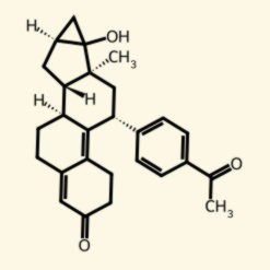 CC(=O)c1ccc([C@H]2C[C@@]3(C)[C@@H](C[C@H]4CC43O)[C@@H]3CCC4=CC(=O)CCC4=C32)cc1